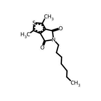 CCCCCCCN1C(=O)c2c(C)sc(C)c2C1=O